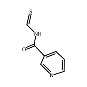 O=C(NC=S)c1cccnc1